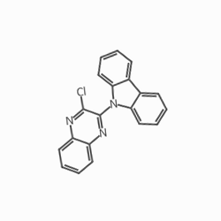 Clc1nc2ccccc2nc1-n1c2ccccc2c2ccccc21